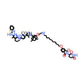 Cc1c(Nc2nc3ccccc3s2)nnc2c1CCCN2c1ccc(-c2cnn(CC34CC5(C)CC(C)(C3)CC(OCCN(C)CCCCCCCCCCCOc3ccc6c(c3)C(=O)N(C3CCC(=O)NC3=O)C6=O)(C5)C4)c2C)c(C(=O)O)n1